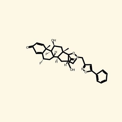 C[C@]12C=CC(=O)C=C1[C@@H](F)C[C@H]1[C@@H]3C[C@H]4CN(Cc5cc(-c6ccccc6)on5)O[C@@]4(C(=O)CO)[C@@]3(C)C[C@H](O)[C@@]12F